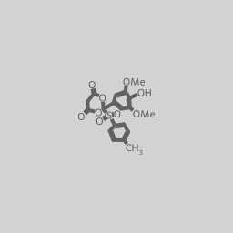 COc1cc(C2(S(=O)(=O)c3ccc(C)cc3)OC(=O)CC(=O)O2)cc(OC)c1O